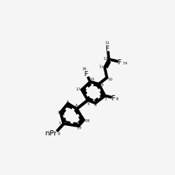 CCCc1ccc(-c2cc(F)c(CC=C(F)F)c(F)c2)cc1